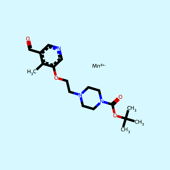 Cc1c(C=O)cncc1OCCN1CCN(C(=O)OC(C)(C)C)CC1.[Mn+4]